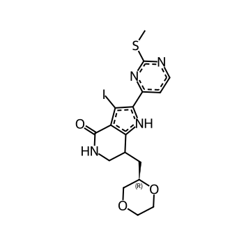 CSc1nccc(-c2[nH]c3c(c2I)C(=O)NCC3C[C@@H]2COCCO2)n1